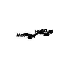 COc1ccc(CN(CCN(C)CCCCCCN/C(=C/[N+](=O)[O-])NCCCOc2cccc(CN3CCCCC3)c2)c2ccccn2)cc1